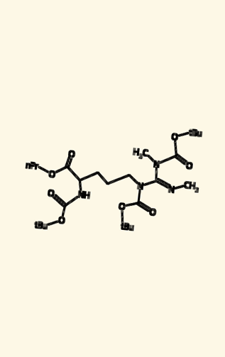 CCCOC(=O)C(CCCN(C(=O)OC(C)(C)C)/C(=N/C)N(C)C(=O)OC(C)(C)C)NC(=O)OC(C)(C)C